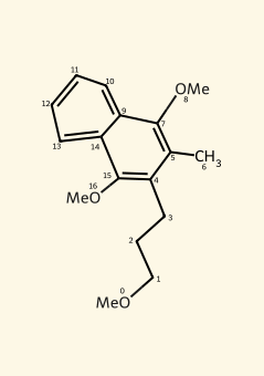 COCCCc1c(C)c(OC)c2ccccc2c1OC